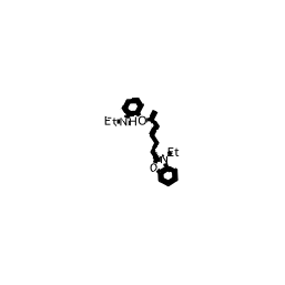 C=C(C=CCC=C1Oc2ccccc2N1CC)Oc1ccccc1NCC